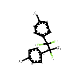 CC(=O)c1ccc(C(F)(F)C(F)(c2ccc(C(C)=O)cc2)C(F)(F)F)cc1